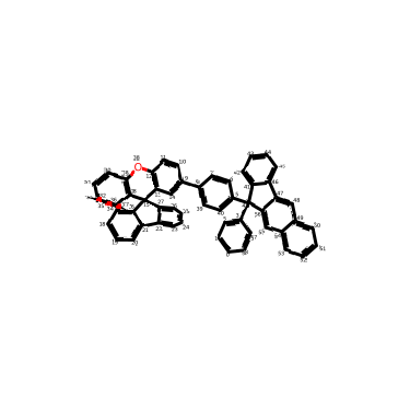 c1ccc(C2(c3ccc(-c4ccc5c(c4)C4(c6ccccc6-c6ccccc64)c4c(ccc6ccccc46)O5)cc3)c3ccccc3-c3cc4ccccc4cc32)cc1